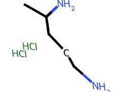 CC(N)CCCN.Cl.Cl